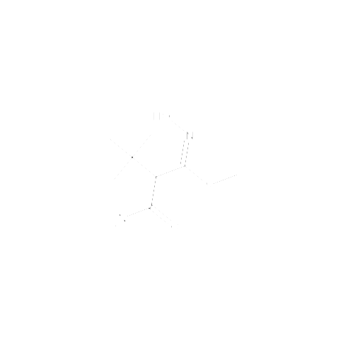 CSC(=NO)C(C(N)=O)C(C)(C)C